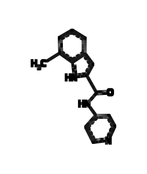 Cc1cccc2cc(C(=O)Nc3ccncc3)[nH]c12